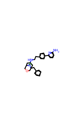 Nc1cccc(-c2ccc(CCNC3CC4COCC(Cc5ccccc5)(C3)N4Cl)cc2)n1